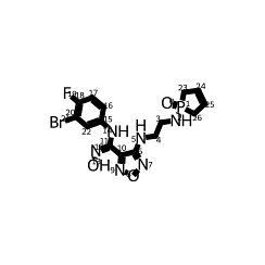 O=P1(NCCNc2nonc2C(=NO)Nc2ccc(F)c(Br)c2)CC=CC1